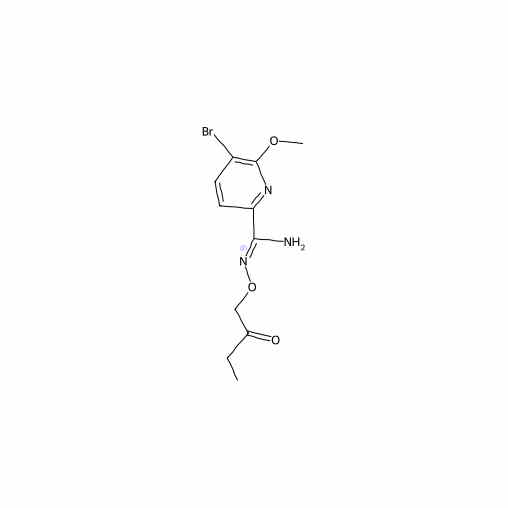 CCC(=O)CO/N=C(\N)c1ccc(Br)c(OC)n1